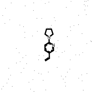 C=Cc1ccc(N2CCCC2)nc1